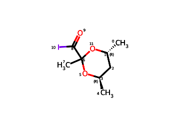 C[C@@H]1C[C@@H](C)OC(C)(C(=O)I)O1